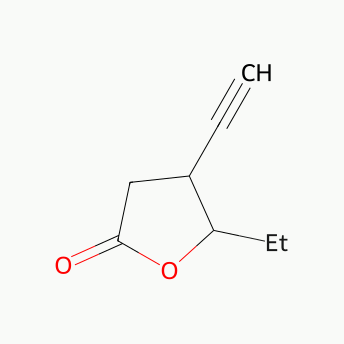 C#CC1CC(=O)OC1CC